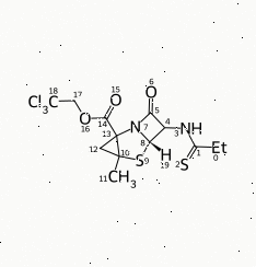 CCC(=S)NC1C(=O)N2[C@H]1SC1(C)CC21C(=O)OCC(Cl)(Cl)Cl